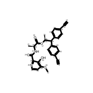 C#Cc1ccc(C(c2ccc(C#C)cc2)[C@H](C)OC(=O)[C@H](C)NC(=O)c2nccc(OC)c2O)cc1